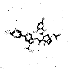 CC(=O)c1nn(CC(=O)N2[C@H](C(=O)Nc3nc(Br)ccc3C)C[C@@]3(CC(F)F)C#C[C@@H]23)c2cnc(-c3cnc(C)nc3)cc12